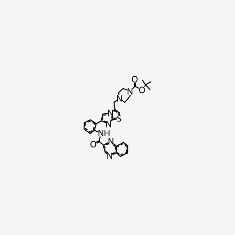 CC(C)(C)OC(=O)N1CCN(Cc2csc3nc(-c4ccccc4NC(=O)c4cnc5ccccc5n4)cn23)CC1